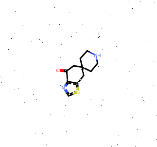 O=C1CC2(CCNCC2)Cc2scnc21